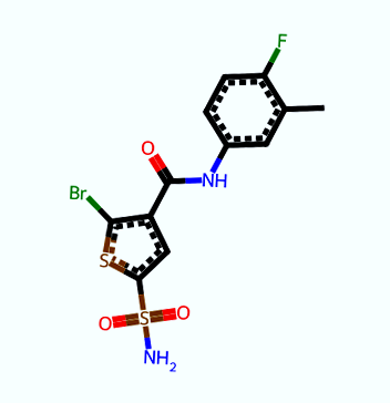 Cc1cc(NC(=O)c2cc(S(N)(=O)=O)sc2Br)ccc1F